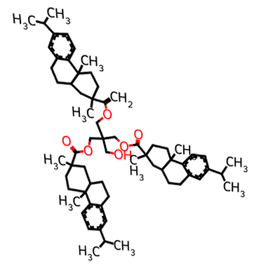 C=C(OCC(CO)(COC(=O)C1(C)CCC2(C)c3ccc(C(C)C)cc3CCC2C1)COC(=O)C1(C)CCC2(C)c3ccc(C(C)C)cc3CCC2C1)C1(C)CCC2(C)c3ccc(C(C)C)cc3CCC2C1